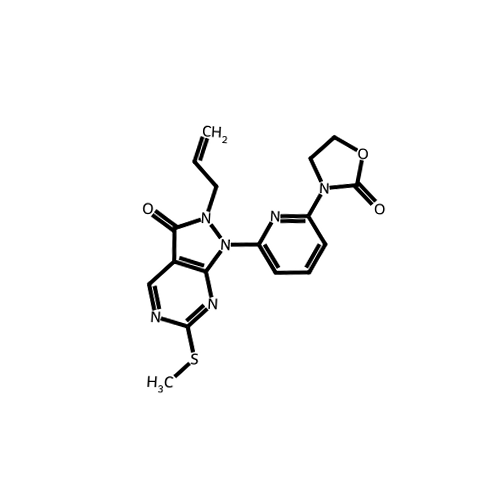 C=CCn1c(=O)c2cnc(SC)nc2n1-c1cccc(N2CCOC2=O)n1